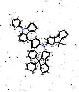 CC1(C)c2ccccc2-c2ccc(N(c3ccc(-c4cccc5c4c4ccccc4n5-c4ccccc4)cc3)c3ccc4c(c3)C(c3ccccc3)(c3ccccc3)c3ccccc3-4)cc21